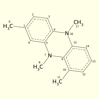 Cc1ccc2c(c1)N(C)c1c(C)cccc1N2C